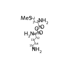 CSCC[C@H](N)C(=O)OC(=O)[C@@H](N)CCCCN